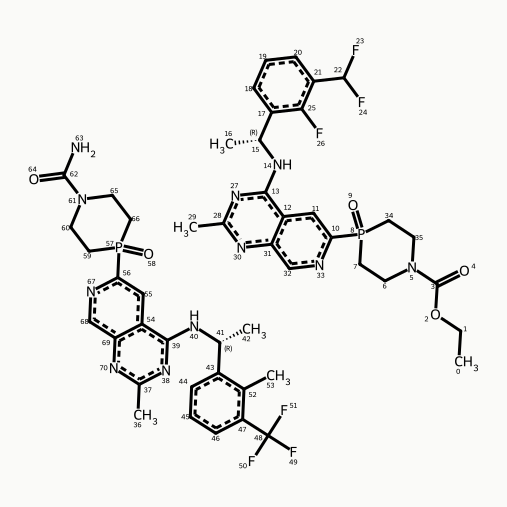 CCOC(=O)N1CCP(=O)(c2cc3c(N[C@H](C)c4cccc(C(F)F)c4F)nc(C)nc3cn2)CC1.Cc1nc(N[C@H](C)c2cccc(C(F)(F)F)c2C)c2cc(P3(=O)CCN(C(N)=O)CC3)ncc2n1